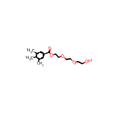 Cc1cc(C(=O)OCCOCCOCCO)cc(C)c1C